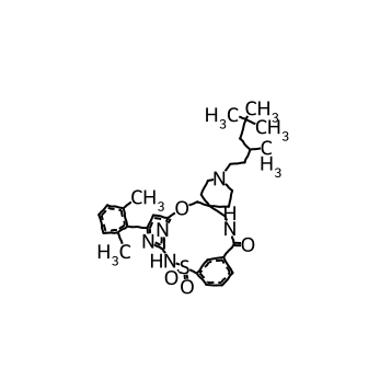 Cc1cccc(C)c1-c1cc2nc(n1)NS(=O)(=O)c1cccc(c1)C(=O)NCC1(CCN(CCC(C)CC(C)(C)C)CC1)CO2